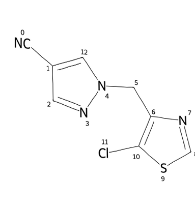 N#Cc1cnn(Cc2ncsc2Cl)c1